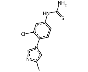 Cc1cn(-c2ccc(NC(N)=S)cc2Cl)cn1